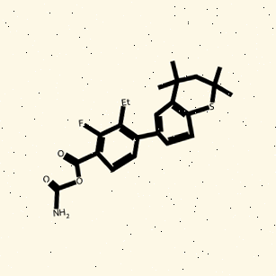 CCc1c(-c2ccc3c(c2)C(C)(C)CC(C)(C)S3)ccc(C(=O)OC(N)=O)c1F